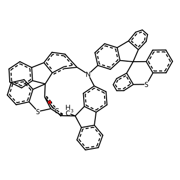 CC12c3ccccc3-c3ccc(cc31)N(c1ccc3c(c1)C1(c4ccccc4Sc4ccccc41)c1ccccc1-3)c1ccc3c(c1)C1(c4ccccc4Sc4c2cccc41)c1ccccc1-3